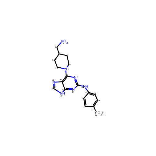 NCC1CCN(c2nc(Nc3ccc(C(=O)O)cc3)nc3[nH]cnc23)CC1